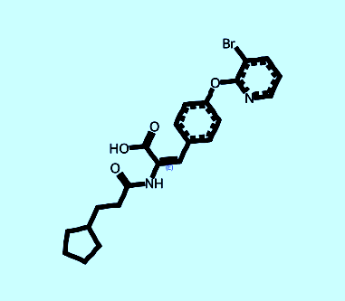 O=C(CCC1CCCC1)N/C(=C/c1ccc(Oc2ncccc2Br)cc1)C(=O)O